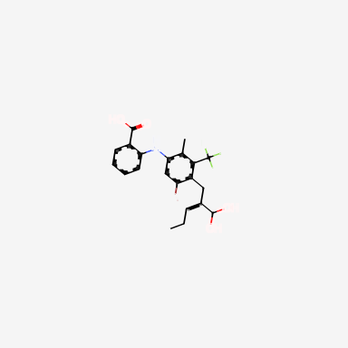 CCC=C(Cc1c(Br)cc(Nc2ccccc2C(=O)O)c(C)c1C(F)(F)F)C(O)O